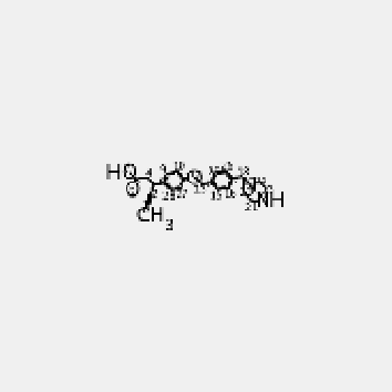 CC#CC(CC(=O)O)c1ccc(OCc2ccc(CN3CCNCC3)cc2)cc1